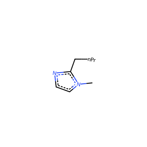 CCCCc1nccn1C